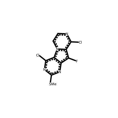 CSc1nc(Cl)c2c(n1)c(F)c1c(Cl)nccn12